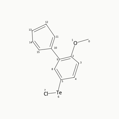 COc1ccc([Te]Cl)cc1-c1ccccc1